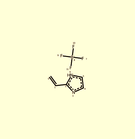 C=Cc1ncc[nH]1.F[B-](F)(F)F